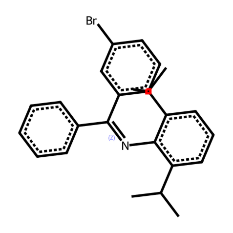 CC(C)c1cccc(C(C)C)c1/N=C(/c1ccccc1)c1cccc(Br)c1